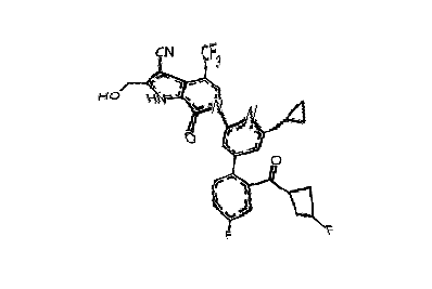 N#Cc1c(CO)[nH]c2c(=O)n(-c3cc(-c4ccc(F)cc4C(=O)C4CC(F)C4)cc(C4CC4)n3)cc(C(F)(F)F)c12